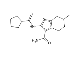 CC1CCc2c(sc(NC(=O)C3CCCC3)c2C(N)=O)C1